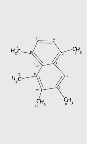 Cc1cc2c(C)ccc(C)c2c(C)c1C